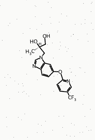 C[C@](O)(CO)Cn1cnc2ccc(Oc3ccc(C(F)(F)F)cn3)cc21